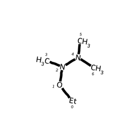 CCON(C)N(C)C